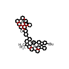 CC(C)(C)c1ccc2c(c1)C1(c3ccccc3-c3ccc(N(c4ccccc4-c4ccccc4)c4ccccc4-c4cccc5c4C4c6cccc(-c7ccc8c(ccc9c8oc8cccc(-c%10ccccc%10N(c%10ccccc%10-c%10ccccc%10)c%10ccccc%10-c%10cccc%11c%10-c%10ccccc%10C%11%10CCCCC%10)c89)c7)c6C=CC4C5(C)C)cc31)c1cc(C(C)(C)C)ccc1-2